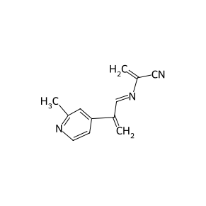 C=C(C#N)/N=C/C(=C)c1ccnc(C)c1